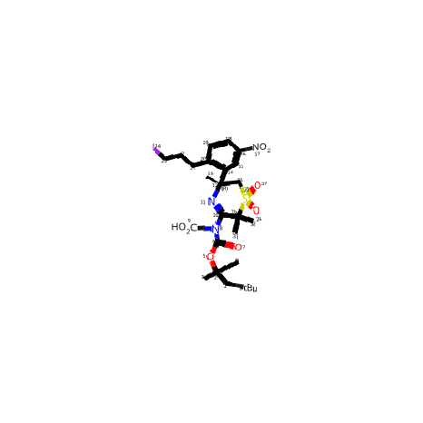 CC(C)(C)CC(C)(C)OC(=O)N(C(=O)O)C1=N[C@](C)(c2cc([N+](=O)[O-])ccc2CCCI)CS(=O)(=O)C1(C)C